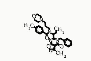 CCC(c1nc2onc(C)c2c(=O)n1Cc1ccccc1)N(CCCN1CCOCC1)C(=O)c1ccc(C)cc1